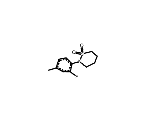 Cc1ccc(N2CCCCS2(=O)=O)c(F)c1